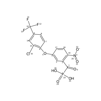 O=C(c1cc(Oc2ccc(C(F)(F)F)cc2Cl)ccc1[N+](=O)[O-])P(=O)(O)O